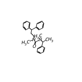 CC(c1ccccc1)N(C)C(=O)N(C)CCC(c1ccccc1)c1ccccc1